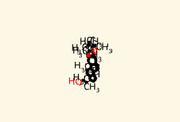 CC(CO)[C@H]1CC[C@H]2[C@@H]3CC=C4CC(O[Si](C(C)C)(C(C)C)C(C)C)CC[C@]4(C)[C@H]3CC[C@]12C